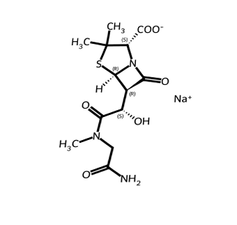 CN(CC(N)=O)C(=O)[C@@H](O)[C@@H]1C(=O)N2[C@@H]1SC(C)(C)[C@@H]2C(=O)[O-].[Na+]